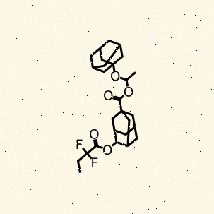 CCC(F)(F)C(=O)OC1C2CC3CC1CC(C(=O)OC(C)OC14CC5CC(CC(C5)C1)C4)(C3)C2